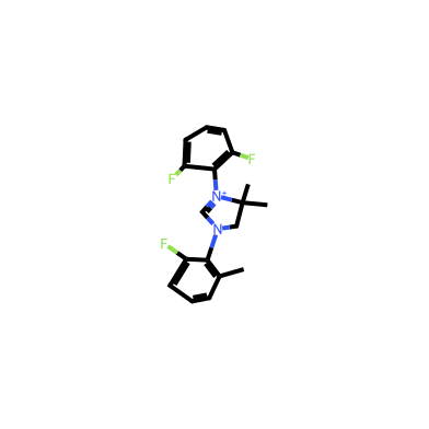 Cc1cccc(F)c1N1C=[N+](c2c(F)cccc2F)C(C)(C)C1